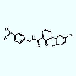 Cc1ccc(F)c(-n2cccc(C(=O)NCc3ccc(N(C)C)cc3)c2=O)c1